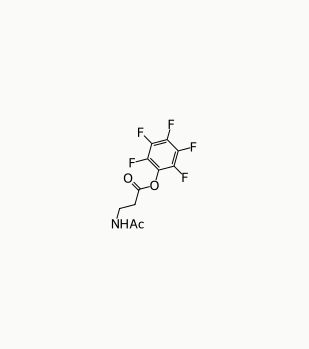 CC(=O)NCCC(=O)Oc1c(F)c(F)c(F)c(F)c1F